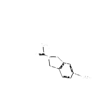 COc1ccc2c(c1)CN(C(N)=O)C2